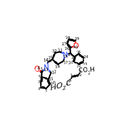 O=C(O)C=CC(=O)O.O=C1c2ccccc2CN1CC1CCN(C(c2ccccc2)c2ccco2)CC1